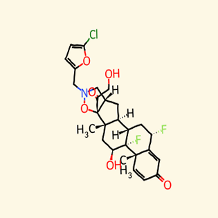 C[C@]12C=CC(=O)C=C1[C@@H](F)C[C@H]1[C@@H]3C[C@H]4CN(Cc5ccc(Cl)o5)O[C@@]4(C(=O)CO)[C@@]3(C)C[C@H](O)[C@@]12F